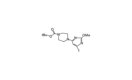 COc1nc(I)cc(N2CCN(C(=O)OC(C)(C)C)CC2)n1